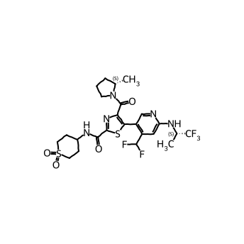 C[C@H](Nc1cc(C(F)F)c(-c2sc(C(=O)NC3CCS(=O)(=O)CC3)nc2C(=O)N2CCC[C@@H]2C)cn1)C(F)(F)F